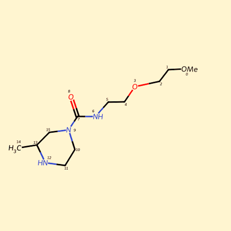 COCCOCCNC(=O)N1CCNC(C)C1